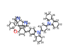 c1ccc2c(c1)Oc1ccc(-c3ccc4c(c3)c3ccccc3n4-c3ccc(-n4c5ccccc5c5ccccc54)cc3)cc1C21c2cccnc2-c2ncccc21